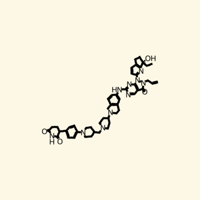 C=CCn1c(=O)c2cnc(Nc3ccc4c(c3)CCN(C3CCN(CC5CCN(c6ccc(C7CCC(=O)NC7=O)cc6)CC5)CC3)C4)nc2n1-c1ccc2c(n1)[C@@](O)(CC)CC2